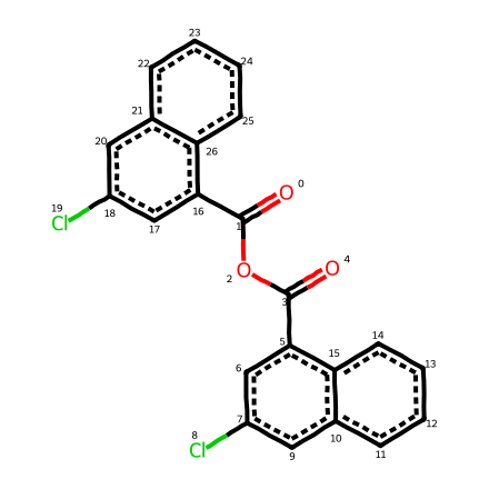 O=C(OC(=O)c1cc(Cl)cc2ccccc12)c1cc(Cl)cc2ccccc12